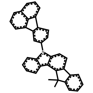 CC1(C)c2ccccc2-c2ccc3c(c21)c1ccccc1n3-c1ccc2c(c1)-c1cccc3cccc-2c13